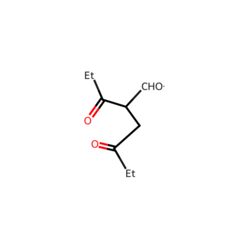 CCC(=O)CC([C]=O)C(=O)CC